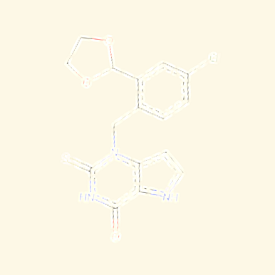 O=c1[nH]c(=S)n(Cc2ccc(Cl)cc2C2OCCO2)c2cc[nH]c12